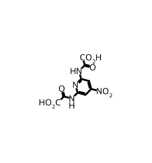 O=C(O)C(=O)Nc1cc([N+](=O)[O-])cc(NC(=O)C(=O)O)n1